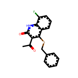 CC(=O)c1c(SCc2ccccc2)c2cccc(F)c2[nH]c1=O